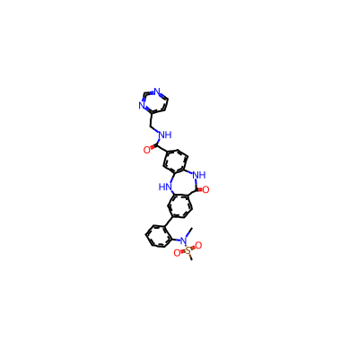 CN(c1ccccc1-c1ccc2c(c1)Nc1cc(C(=O)NCc3ccncn3)ccc1NC2=O)S(C)(=O)=O